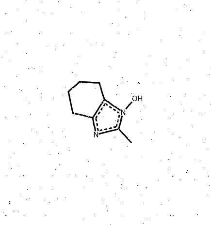 Cc1nc2c(n1O)CCCC2